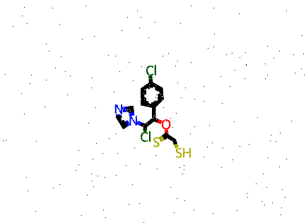 S=C(CS)OC(c1ccc(Cl)cc1)C(Cl)n1ccnc1